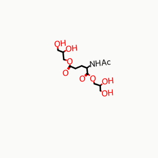 CC(=O)NC(CCC(=O)OCC(O)CO)C(=O)OCC(O)CO